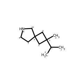 CC(C)C1(C)CC2(CCNC2)C1